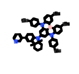 CC(C)(C)c1ccc(N2c3ccc(C(C)(C)C)cc3B3c4cc(C(C)(C)C)ccc4N(c4ccc(C(C)(C)C)cc4)c4cc(N5c6ccc(-c7cccnc7)cc6C6(C)CCCCC56C)cc2c43)cc1